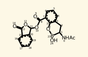 CC(=O)NC1Cc2cccc(C(=O)OC3OC(=O)c4ccccc43)c2OB1O